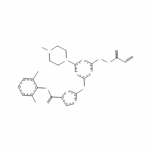 C=CC(=O)NNc1nc(Nc2ncc(C(=O)Nc3c(C)cccc3Cl)s2)nc(N2CCN(N=O)CC2)n1